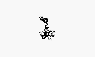 C=C[C@]1(C)C[C@@H](OC(=O)COc2cccc(CO)c2)[C@]2(C)C(C)CCC3(CCC(=O)C32)[C@@H](C)[C@@H]1O